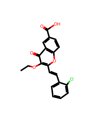 CCOc1c(/C=C/c2ccccc2Cl)oc2ccc(C(=O)O)cc2c1=O